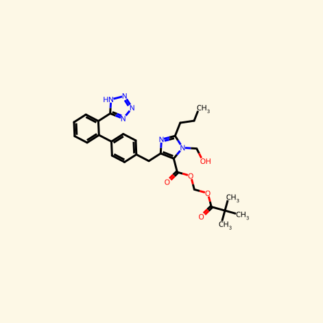 CCCc1nc(Cc2ccc(-c3ccccc3-c3nnn[nH]3)cc2)c(C(=O)OCOC(=O)C(C)(C)C)n1CO